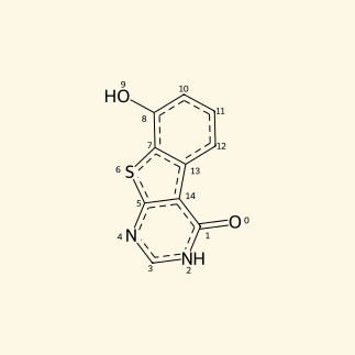 O=c1[nH]cnc2sc3c(O)cccc3c12